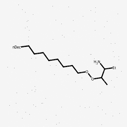 CCCCCCCCCCCCCCCCCCOOC(C)C(N)CC